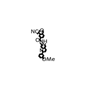 COc1cccc(-c2ccc3cnc(CNC(=O)c4ccc5c(c4)[C@](C)(C#N)COC5)cc3n2)c1